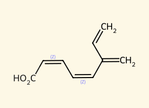 C=CC(=C)/C=C\C=C/C(=O)O